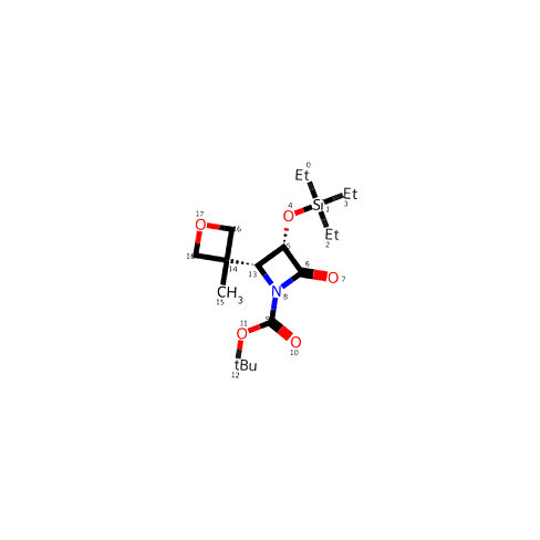 CC[Si](CC)(CC)O[C@@H]1C(=O)N(C(=O)OC(C)(C)C)[C@@H]1C1(C)COC1